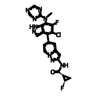 CN(c1ncncn1)c1c(F)c(Cl)c(-c2ccn3nc(NC(=O)[C@@H]4C[C@@H]4F)cc3c2)c2cn[nH]c12